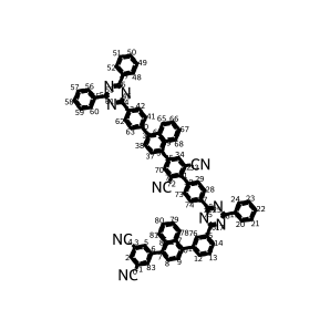 N#Cc1cc(C#N)cc(-c2ccc(-c3cccc(-c4nc(-c5ccccc5)nc(-c5ccc(-c6c(C#N)cc(-c7ccc(-c8ccc(-c9nc(-c%10ccccc%10)nc(-c%10ccccc%10)n9)cc8)c8ccccc78)cc6C#N)cc5)n4)c3)c3ccccc23)c1